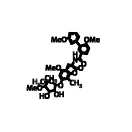 COc1cccc(-c2cc(C(=O)Nc3cc4c(OC)cc(OC5OC(C)(C)C(OC)C(O)C5O)c(C)c4oc3=O)ccc2OC)c1